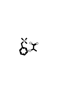 CC(O)C(=O)[O-].C[N+](C)(C)Cc1ccccc1